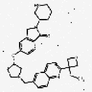 CNC1(c2ccc3cc(CN4CC[C@H](Oc5ccc6c(c5)CN(C5CCCNC5)C6=O)C4)ccc3n2)COC1